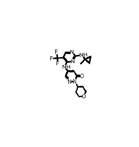 CC1(Nc2ncc(C(F)(F)F)c(Nc3cnn(C4CCOCC4)c(=O)c3)n2)CC1